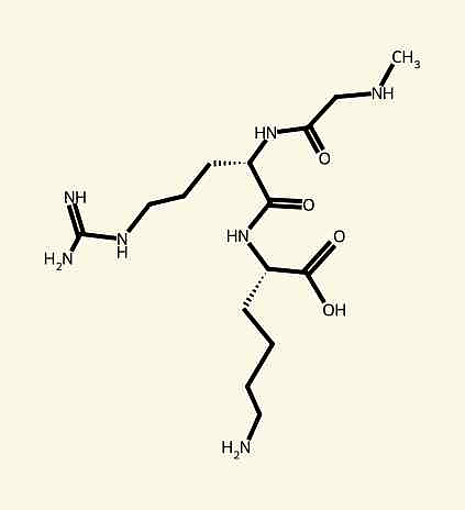 CNCC(=O)N[C@@H](CCCNC(=N)N)C(=O)N[C@@H](CCCCN)C(=O)O